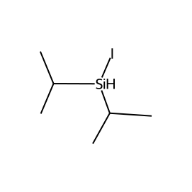 CC(C)[SiH](I)C(C)C